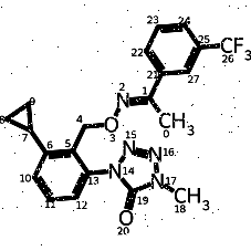 CC(=NOCc1c(C2CC2)cccc1-n1nnn(C)c1=O)c1cccc(C(F)(F)F)c1